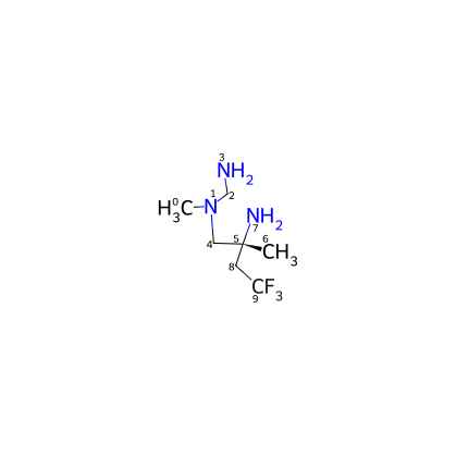 CN(CN)C[C@](C)(N)CC(F)(F)F